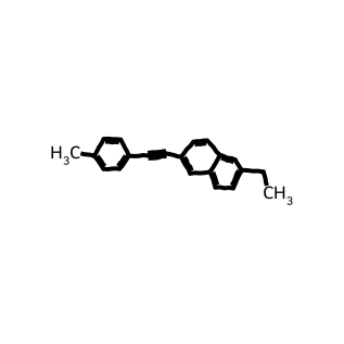 CCc1ccc2cc(C#Cc3ccc(C)cc3)ccc2c1